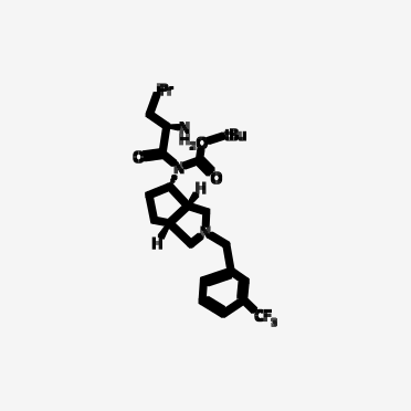 CC(C)C[C@@H](N)C(=O)N(C(=O)OC(C)(C)C)[C@H]1CC[C@H]2CN(Cc3cccc(C(F)(F)F)c3)C[C@H]21